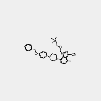 Cc1ccc(N2CCC(c3ccc(OCc4ccccc4)cc3)CC2)c2c1c(C#N)nn2COCC[Si](C)(C)C